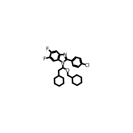 Fc1cc2nc(-c3ccc(Cl)cc3)n(C(CC3CCCCC3)OCC3CCCCC3)c2cc1F